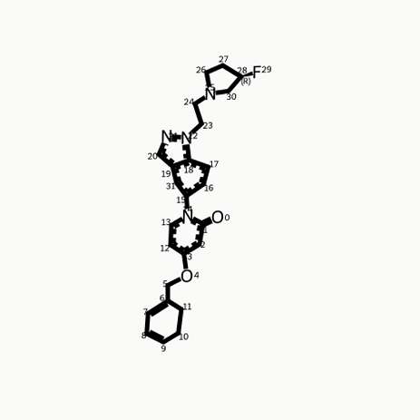 O=c1cc(OCC2=CC=CCC2)ccn1-c1ccc2c(cnn2CCN2CC[C@@H](F)C2)c1